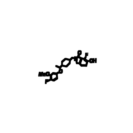 COc1cc(OC(C)C2CCC(CN3Cc4ccc(O)c(F)c4C3=O)CC2)ccc1F